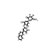 Nc1nn(-c2cc(Cl)c(Oc3cc(-c4cnc5ccccc5c4)c(=O)[nH]n3)c(Cl)c2)c(=O)[nH]c1=O